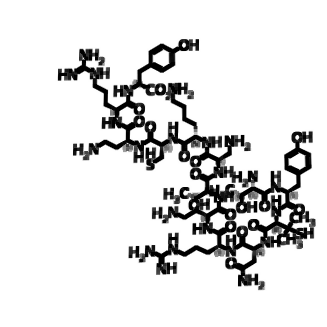 C[C@@H](O)[C@H](N)C(=O)N[C@@H](Cc1ccc(O)cc1)C(=O)N[C@H](C(=O)N[C@@H](CC(N)=O)C(=O)N[C@@H](CCCNC(=N)N)C(=O)N[C@@H](CCN)C(=O)N[C@H](C(=O)N[C@H](CN)C(=O)N[C@@H](CCCCN)C(=O)N[C@@H](CS)C(=O)N[C@@H](CCN)C(=O)N[C@@H](CCCNC(=N)N)C(=O)N[C@@H](Cc1ccc(O)cc1)C(=O)O)[C@@H](C)O)C(C)(C)S